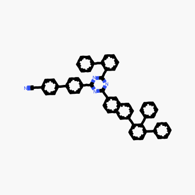 N#Cc1ccc(-c2ccc(-c3nc(-c4ccc5cc(-c6cccc(-c7ccccc7)c6-c6ccccc6)ccc5c4)nc(-c4ccccc4-c4ccccc4)n3)cc2)cc1